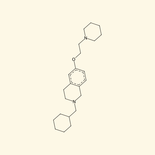 c1cc2c(cc1OCCN1CCCCC1)CCN(CC1CCCCC1)C2